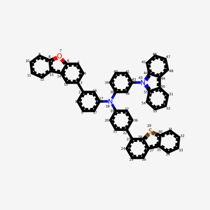 c1cc(-c2ccc3oc4ccccc4c3c2)cc(N(c2ccc(-c3cccc4c3sc3ccccc34)cc2)c2cccc(-n3c4ccccc4c4ccccc43)c2)c1